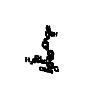 COc1cc(OCCCN(C)C)c(-c2cn3ccc(N4CCCN(CCO[PH](=O)O)CC4)cc3n2)cc1Cl